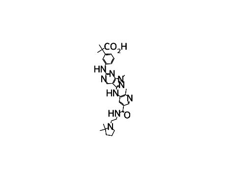 Cc1ncc(C(=O)NCCN2CCCC2(C)C)cc1Nc1nn(C)c2nc(Nc3cccc(C(C)(C)C(=O)O)c3)ncc12